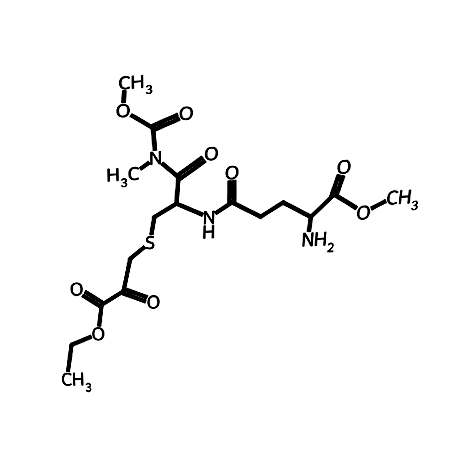 CCOC(=O)C(=O)CSCC(NC(=O)CCC(N)C(=O)OC)C(=O)N(C)C(=O)OC